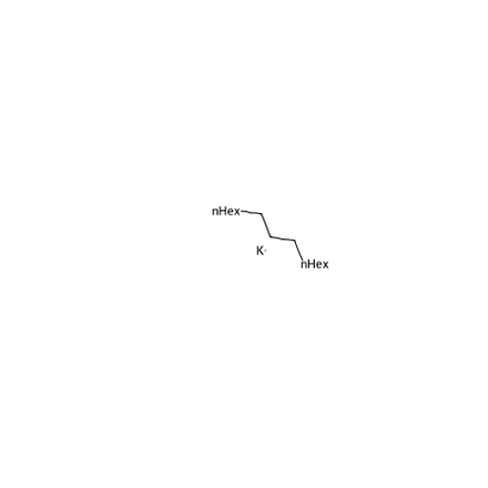 CCCCCCCCCCCCCCC.[K]